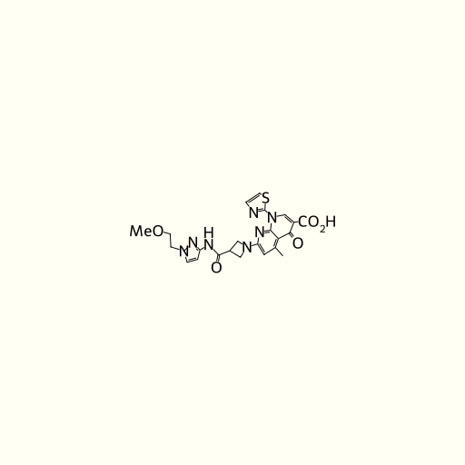 COCCn1ccc(NC(=O)C2CN(c3cc(C)c4c(=O)c(C(=O)O)cn(-c5nccs5)c4n3)C2)n1